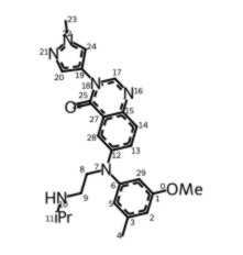 COc1cc(C)cc(N(CCNC(C)C)c2ccc3ncn(-c4cnn(C)c4)c(=O)c3c2)c1